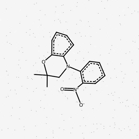 CC1(C)CN(c2ccccc2[N+](=O)[O-])c2ccccc2O1